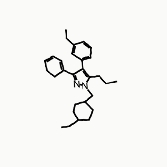 CCCc1c(-c2cccc(CC)c2)c(C2=CC=CCC2)nn1CC1CCC(CC)CC1